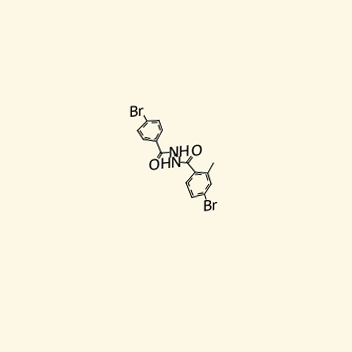 Cc1cc(Br)ccc1C(=O)NNC(=O)c1ccc(Br)cc1